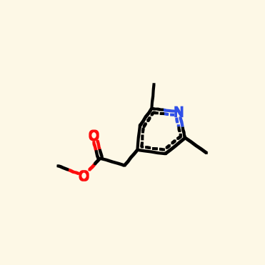 COC(=O)Cc1cc(C)nc(C)c1